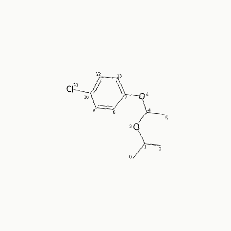 CC(C)OC(C)Oc1ccc(Cl)cc1